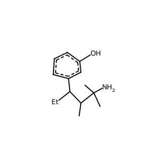 CCC(c1cccc(O)c1)C(C)C(C)(C)N